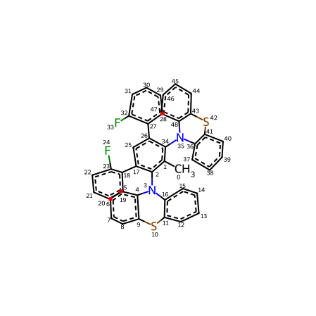 Cc1c(N2c3ccccc3Sc3ccccc32)c(-c2ccccc2F)cc(-c2ccccc2F)c1N1c2ccccc2Sc2ccccc21